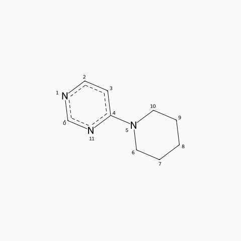 [c]1nccc(N2CCCCC2)n1